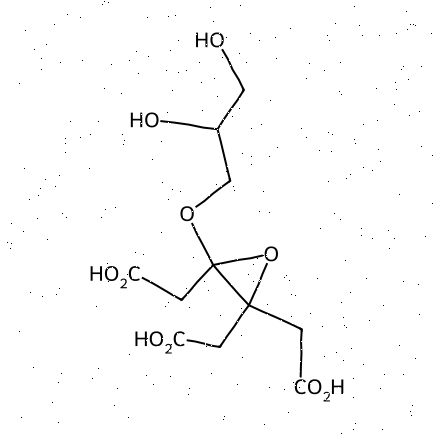 O=C(O)CC1(CC(=O)O)OC1(CC(=O)O)OCC(O)CO